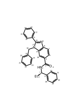 CC[C@@H](NC(=O)c1ccc2nc(-c3ccccc3)n(Cc3ccccc3)c2c1)c1ccccc1